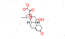 COC(=O)C(=O)[C@@]12CC[C@@]3(OC(C)O1)[C@@H]1CCC4=CC(=O)CC[C@]4(C)[C@H]1[C@H](O)C[C@]23C